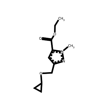 CCOC(=O)c1cc(COC2CC2)nn1C